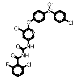 O=C(NC(=O)c1c(F)cccc1Cl)Nc1cnc(Oc2ccc([S+]([O-])c3ccc(Cl)cc3)cc2)c(Cl)c1